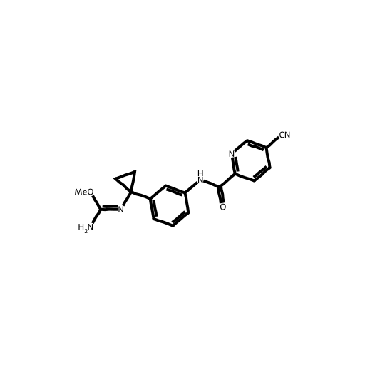 CO/C(N)=N\C1(c2cccc(NC(=O)c3ccc(C#N)cn3)c2)CC1